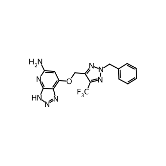 Nc1cc(OCc2nn(Cc3ccccc3)nc2C(F)(F)F)c2nn[nH]c2n1